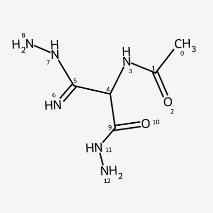 CC(=O)NC(C(=N)NN)C(=O)NN